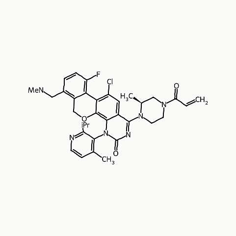 C=CC(=O)N1CCN(c2nc(=O)n(-c3c(C)ccnc3C(C)C)c3c4c(c(Cl)cc23)-c2c(F)ccc(CNC)c2CO4)[C@@H](C)C1